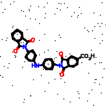 O=C(O)c1ccc2c(c1)C(=O)N(c1ccc(Nc3ccc(N4C(=O)c5ccccc5C4=O)cc3)cc1)C2=O